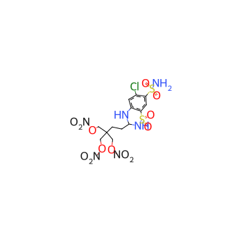 NS(=O)(=O)c1cc2c(cc1Cl)NC(CCC(CO[N+](=O)[O-])(CO[N+](=O)[O-])CO[N+](=O)[O-])NS2(=O)=O